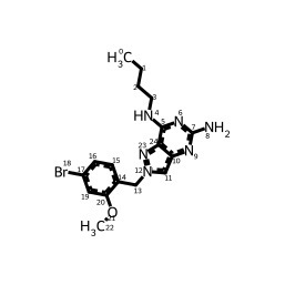 CCCCNc1nc(N)nc2cn(Cc3ccc(Br)cc3OC)nc12